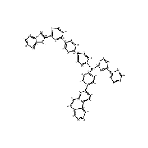 c1ccc(-c2cccc(N(c3ccc(-c4ccc(-c5cccc(-c6cc7ccccc7o6)c5)cc4)cc3)c3ccc(-c4ccc5c(ccc6ccccc65)c4)cc3)c2)cc1